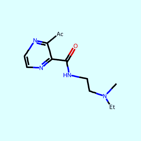 CCN(C)CCNC(=O)c1nccnc1C(C)=O